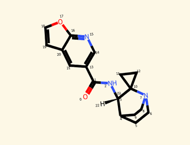 O=C(N[C@H]1C2CCN(CC2)C12CC2)c1cnc2occc2c1